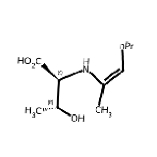 CCCC=C(C)N[C@H](C(=O)O)[C@@H](C)O